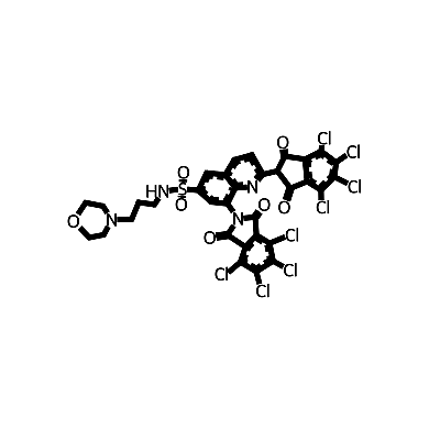 O=C1c2c(Cl)c(Cl)c(Cl)c(Cl)c2C(=O)C1c1ccc2cc(S(=O)(=O)NCCCN3CCOCC3)cc(N3C(=O)c4c(Cl)c(Cl)c(Cl)c(Cl)c4C3=O)c2n1